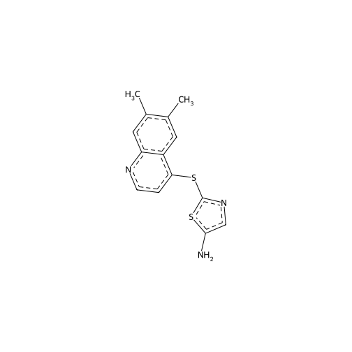 Cc1cc2nccc(Sc3ncc(N)s3)c2cc1C